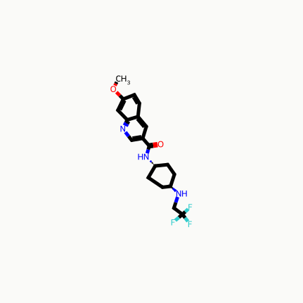 COc1ccc2cc(C(=O)N[C@H]3CC[C@H](NCC(F)(F)F)CC3)cnc2c1